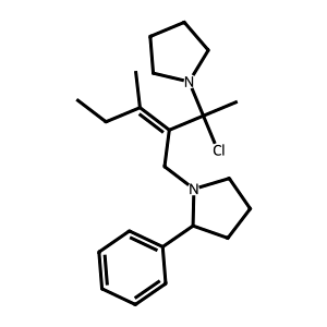 CCC(C)=C(CN1CCCC1c1ccccc1)C(C)(Cl)N1CCCC1